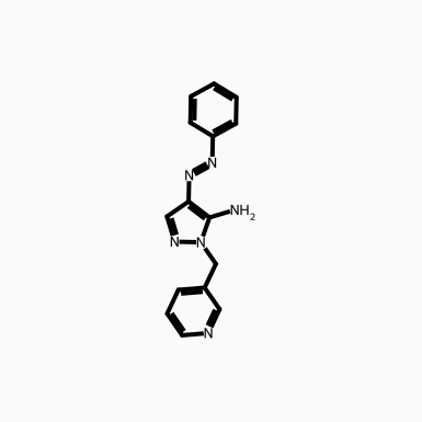 Nc1c(/N=N/c2ccccc2)cnn1Cc1cccnc1